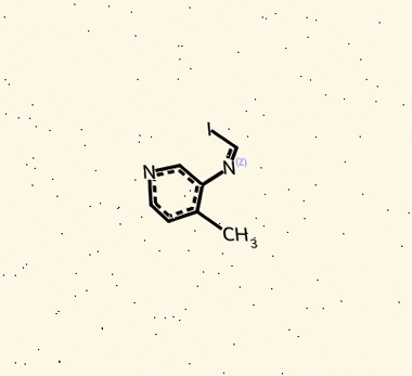 Cc1ccncc1/N=C\I